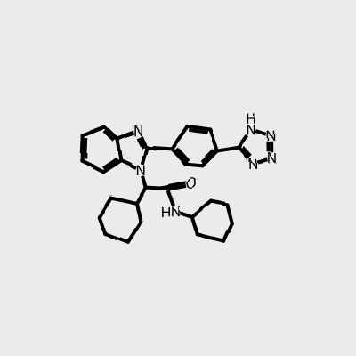 O=C(NC1CCCCC1)C(C1CCCCC1)n1c(-c2ccc(-c3nnn[nH]3)cc2)nc2ccccc21